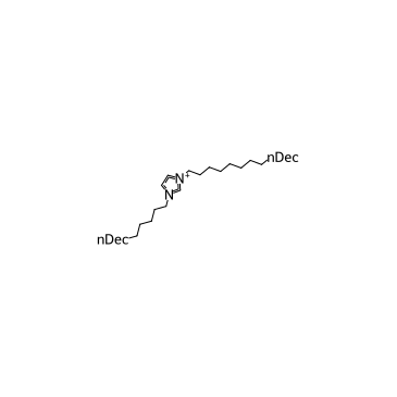 CCCCCCCCCCCCCCCCCC[n+]1ccn(CCCCCCCCCCCCCCC)c1